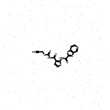 C#CCOC(=O)NC(=O)c1ccsc1NC(=O)c1nc2cnccc2s1